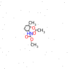 CCOC(=O)Nc1cccc(C)c1OC(C)=O